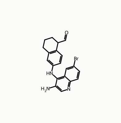 Nc1cnc2ccc(Br)cc2c1Nc1ccc2c(c1)CCCC2C=O